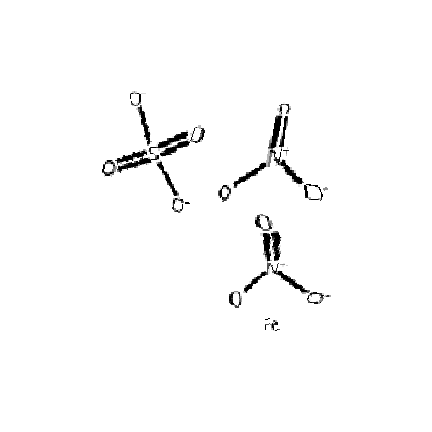 O=S(=O)([O-])[O-].O=[N+]([O-])[O-].O=[N+]([O-])[O-].[Fe]